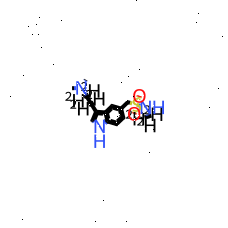 [2H]C([2H])([2H])NS(=O)(=O)Cc1ccc2[nH]cc(C([2H])([2H])C([2H])([2H])N(C)C)c2c1